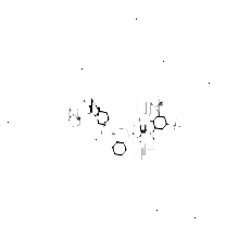 COc1c(NC(C)=O)cc(C(C)(C)C)cc1NC(=O)N[C@H]1CC[C@@H](Oc2ccc3nnc([C@@H]4CCCN4C)n3c2)c2ccccc21